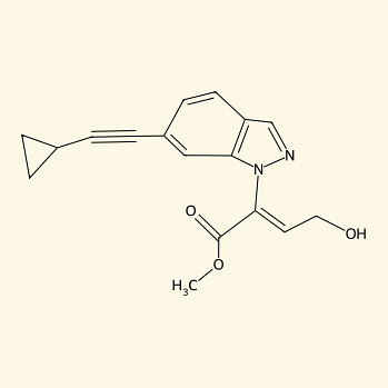 COC(=O)/C(=C/CO)n1ncc2ccc(C#CC3CC3)cc21